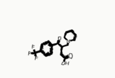 O=C(O)CC(CN1CCCCC1)C(=O)c1ccc(C(F)(F)F)cc1